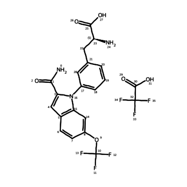 NC(=O)c1cc2ccc(OC(F)(F)F)cc2n1-c1cccc(C[C@H](N)C(=O)O)c1.O=C(O)C(F)(F)F